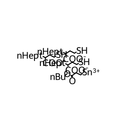 CCCCCCCC(CCS)C(=O)[O-].CCCCCCCC(CCS)C(=O)[O-].CCCCCCCC(CCS)C(=O)[O-].CCCCOC(=O)C[CH2][Sn+3]